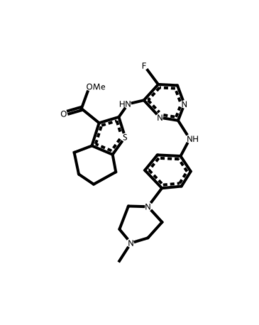 COC(=O)c1c(Nc2nc(Nc3ccc(N4CCN(C)CC4)cc3)ncc2F)sc2c1CCCC2